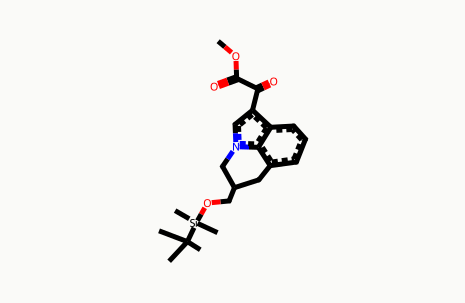 COC(=O)C(=O)c1cn2c3c(cccc13)CC(CO[Si](C)(C)C(C)(C)C)C2